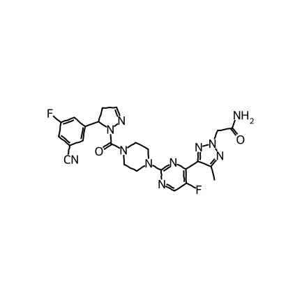 Cc1nn(CC(N)=O)nc1-c1nc(N2CCN(C(=O)N3N=CCC3c3cc(F)cc(C#N)c3)CC2)ncc1F